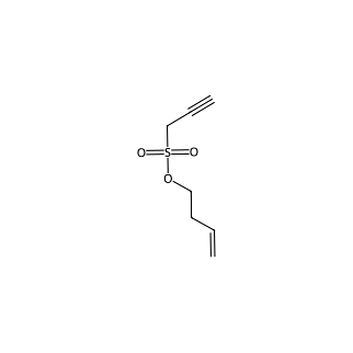 C#CCS(=O)(=O)OCCC=C